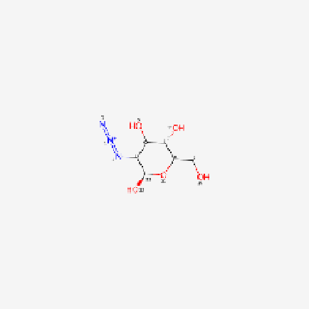 [N-]=[N+]=NC1C(O)[C@H](O)C(CO)O[C@H]1O